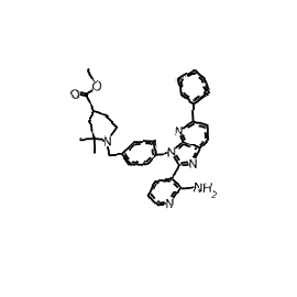 COC(=O)C1CCN(Cc2ccc(-n3c(-c4cccnc4N)nc4ccc(-c5ccccc5)nc43)cc2)C(C)(C)C1